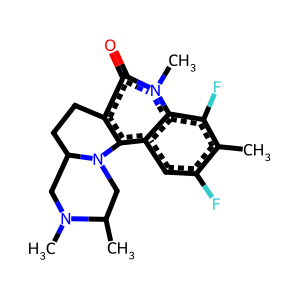 Cc1c(F)cc2c3c(c(=O)n(C)c2c1F)CCC1CN(C)C(C)CN31